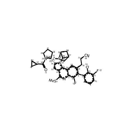 CSc1nc2c(F)c(-c3cccc(F)c3Cl)c(CCC#N)cc2c2c1cc([C@H]1CCCN1C(=O)C1CC1)n2C1C2CC1N(C(=O)O)C2